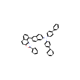 c1ccc(-c2ccc(N(c3ccc(-c4ccccc4)cc3)c3ccc4cc(-c5cccc6ccc7oc(-c8ccccc8)nc7c56)ccc4c3)cc2)cc1